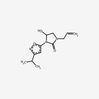 C=CCN1CC(O)N(c2cc(C(C)C)no2)C1=O